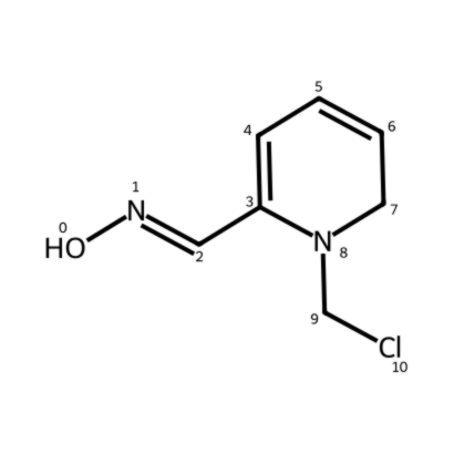 ON=CC1=CC=CCN1CCl